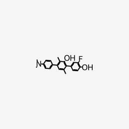 Cc1cc(-c2ccc(N(C)C)cc2)c(C)c(O)c1-c1ccc(O)c(F)c1